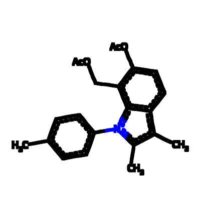 CC(=O)OCc1c(OC(C)=O)ccc2c(C)c(C)n(-c3ccc(C)cc3)c12